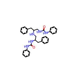 O=C(NCC(Cc1ccccc1)NCC(Cc1ccccc1)NC(=O)Nc1ccccc1)Nc1ccccc1